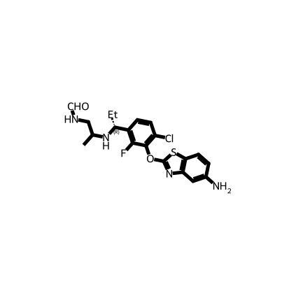 CC[C@@H](NC(C)CNC=O)c1ccc(Cl)c(Oc2nc3cc(N)ccc3s2)c1F